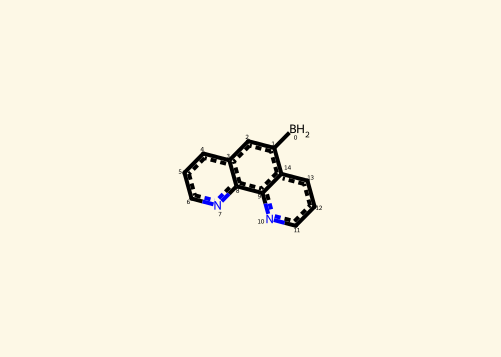 Bc1cc2cccnc2c2ncccc12